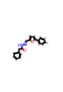 O=C(Cc1ccccc1)N/N=C/c1ccc(-c2ccccc2)o1